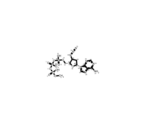 COP(=O)(O)OP(=O)(O)OP(=O)(O)OC[C@H]1O[C@@H](n2cnc3c(N)ncnc32)CC1N=[N+]=[N-]